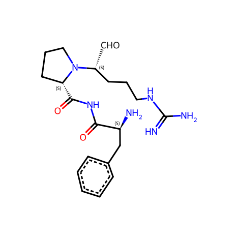 N=C(N)NCCC[C@@H](C=O)N1CCC[C@H]1C(=O)NC(=O)[C@@H](N)Cc1ccccc1